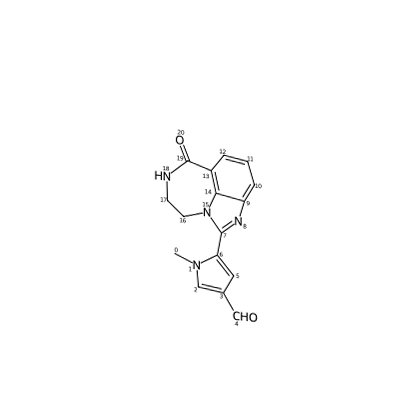 Cn1cc(C=O)cc1-c1nc2cccc3c2n1CCNC3=O